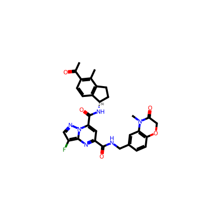 CC(=O)c1ccc2c(c1C)CC[C@@H]2NC(=O)c1cc(C(=O)NCc2ccc3c(c2)N(C)C(=O)CO3)nc2c(F)cnn12